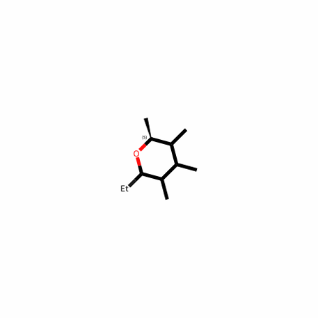 CCC1O[C@@H](C)C(C)C(C)C1C